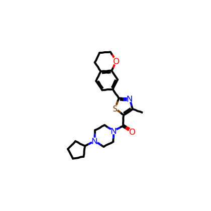 Cc1nc(-c2ccc3c(c2)OCCC3)sc1C(=O)N1CCN(C2CCCC2)CC1